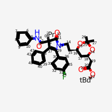 CC(C)C1(C(=O)Nc2ccccc2)C(=O)N(CC[C@@H]2C[C@H](CC(=O)OC(C)(C)C)OC(C)(C)O2)C(c2ccc(F)cc2)=C1c1ccccc1